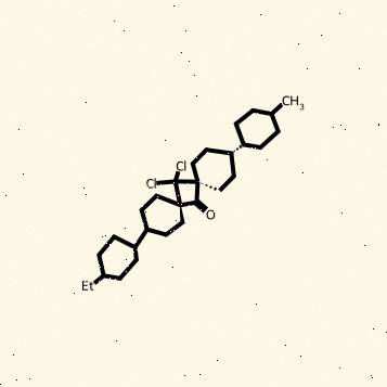 CCC1CCC(C2CC[C@]3(CC2)C(=O)[C@@]2(CC[C@@H](C4CCC(C)CC4)CC2)C3(Cl)Cl)CC1